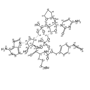 CC(C)(C)SSCC(NC(=O)OCc1ccc(N=[N+]=[N-])cc1)C(=O)O[C@H]1[C@@H](O)[C@H](n2cnc3c(N)ncnc32)O[C@@H]1COP(=O)(O)O[C@H]1[C@@H](O[C@@H]2CCCO2)[C@H](n2ccc(N)nc2=O)O[C@@H]1COP(=O)(O)O